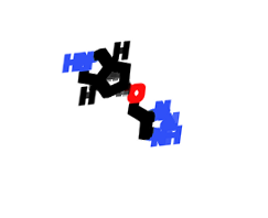 c1[nH]nnc1CO[C@@H]1C[C@H]2CNC[C@H]2C1